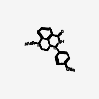 CN[C@@H]1CCN2c3c(cccc31)C(=O)N[C@H]2c1ccc(OC)cc1